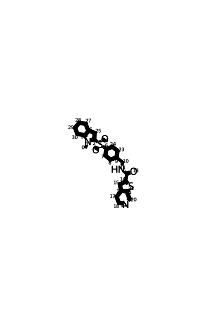 Cn1c(S(=O)(=O)c2ccc(CNC(=O)c3cc4ccncc4s3)cc2)cc2ccccc21